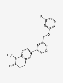 CN1C(=O)CCc2cc(-c3cncc(COc4cccc(F)n4)c3)ccc21